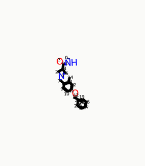 CNC(=O)C1CN(Cc2ccc(OCC3CC4C=CC3CC4)cc2C)C1